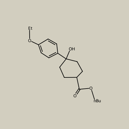 CCCCOC(=O)C1CCC(O)(c2ccc(OCC)cc2)CC1